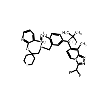 Cc1ccc([C@H](c2ccn3c(C(F)F)nnc3c2C)C(C)(C)C(=O)O)cc1CN1CC2(CCOCC2)Oc2ncccc2S1(=O)=O